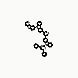 c1ccc(-c2cc(-c3ccccc3)nc(-n3c4ccccc4c4cc(-c5cncc(-c6ccc7c(c6)c6ccccc6n7-c6ccc7sc8cccnc8c7c6)c5)ccc43)n2)cc1